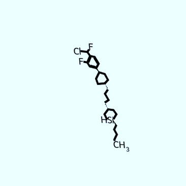 CCCCC[Si@H]1CC[C@H](CCCC[C@H]2CC[C@H](c3ccc(C(F)Cl)c(F)c3)CC2)CC1